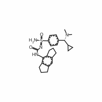 CN(C)[C@@H](c1ccc([S@@](N)(=O)=NC(=O)Nc2c3c(cc4c2CCC4)CCC3)cc1)C1CC1